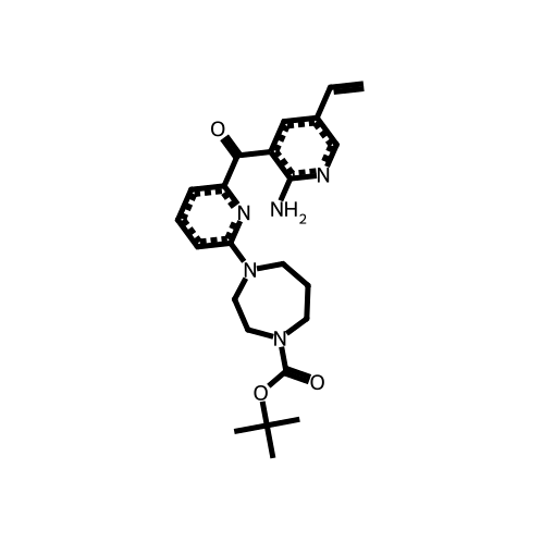 C=Cc1cnc(N)c(C(=O)c2cccc(N3CCCN(C(=O)OC(C)(C)C)CC3)n2)c1